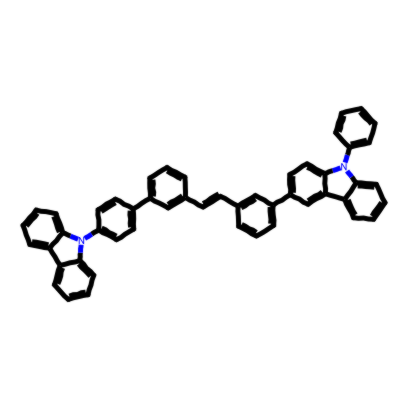 C(=C\c1cccc(-c2ccc3c(c2)c2ccccc2n3-c2ccccc2)c1)/c1cccc(-c2ccc(-n3c4ccccc4c4ccccc43)cc2)c1